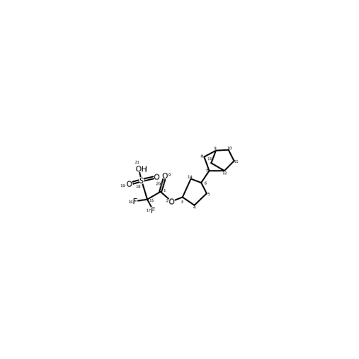 O=C(OC1CCC(C2CC3CCC2C3)C1)C(F)(F)S(=O)(=O)O